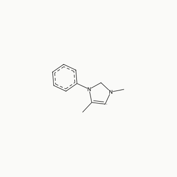 CC1=[C]N(C)CN1c1ccccc1